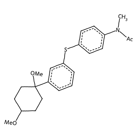 COC1CCC(OC)(c2cccc(Sc3ccc(N(C)C(C)=O)cc3)c2)CC1